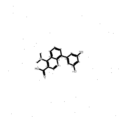 CN(C)c1c(C(=O)O)cnc2c(-c3cc(Cl)cc(Cl)c3)cccc12